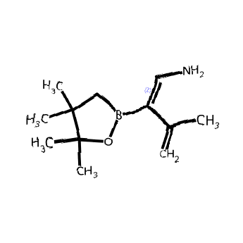 C=C(C)/C(=C\N)B1CC(C)(C)C(C)(C)O1